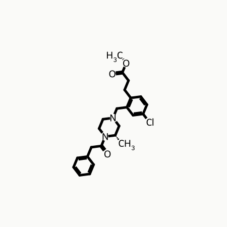 COC(=O)CCc1ccc(Cl)cc1CN1CCN(C(=O)Cc2ccccc2)[C@@H](C)C1